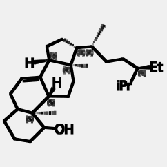 CC[C@H](CC[C@@H](C)[C@H]1CC[C@H]2C3=CCC4CCCC(O)[C@]4(C)[C@H]3CC[C@]12C)C(C)C